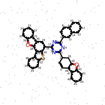 C1=CC(c2nc(-c3ccc4ccccc4c3)nc(-c3cc4c5ccccc5oc4c4c3sc3ccccc34)n2)Cc2oc3ccccc3c21